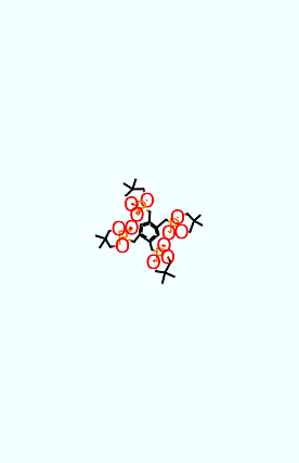 CC1(C)COP(=O)(Cc2cc(CP3(=O)OCC(C)(C)CO3)c(CP3(=O)OCC(C)(C)CO3)cc2CP2(=O)OCC(C)(C)CO2)OC1